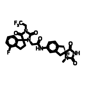 CN1C(=O)NC(=O)[C@@]12Cc1ccc(NC(=O)CN3C(=O)N(CC(F)(F)F)C(=O)C34CCc3c(F)cccc34)cc1C2